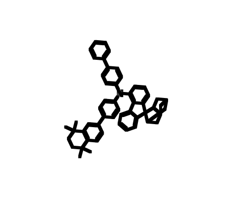 CC1(C)CCC(C)(C)c2cc(-c3ccc(N(c4ccc(-c5ccccc5)cc4)c4cccc5c4-c4ccccc4C54C5CC6CC(C5)C4C6)cc3)ccc21